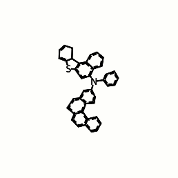 C1=CCC2C(=C1)Sc1cc(N(c3ccccc3)c3ccc4c(ccc5ccc6ccccc6c54)c3)c3ccccc3c12